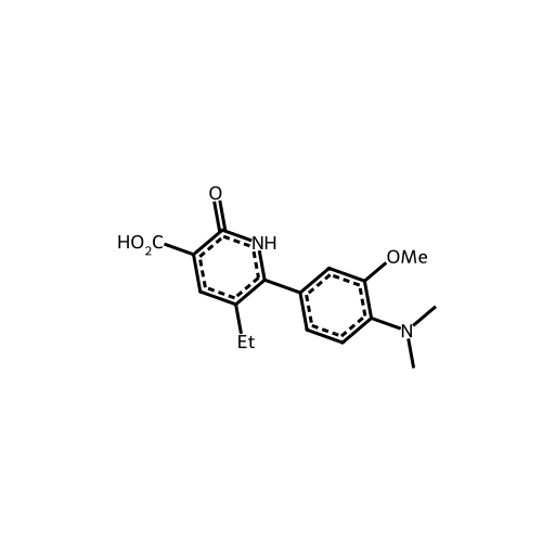 CCc1cc(C(=O)O)c(=O)[nH]c1-c1ccc(N(C)C)c(OC)c1